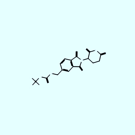 CC(C)(C)OC(=O)NCc1ccc2c(c1)C(=O)N(C1CCC(=O)NC1=O)C2=O